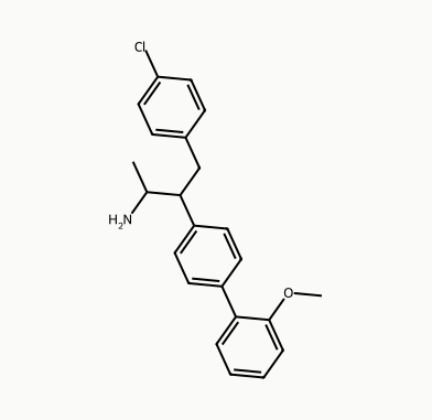 COc1ccccc1-c1ccc(C(Cc2ccc(Cl)cc2)C(C)N)cc1